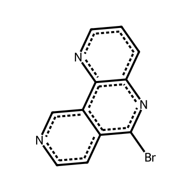 Brc1nc2cccnc2c2cnccc12